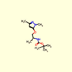 Cc1cc(OC[C@H](C)NC(=O)OC(C)(C)C)n(C)n1